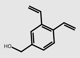 C=Cc1ccc(CO)cc1C=C